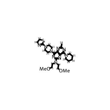 COCCN(CCOC)c1nc(N2CCN(C3=NCCS3)CC2)c2nc(C)nc(N3CCCCC3)c2n1